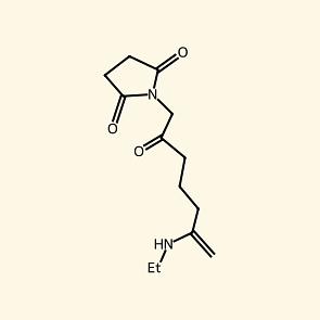 C=C(CCCC(=O)CN1C(=O)CCC1=O)NCC